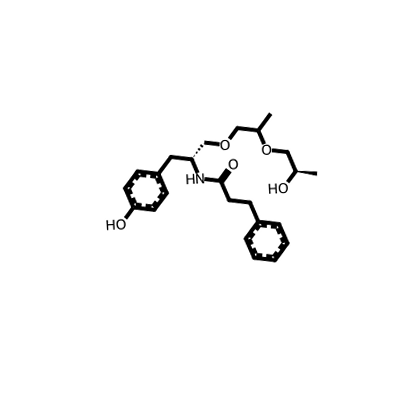 CC(COC[C@@H](Cc1ccc(O)cc1)NC(=O)CCc1ccccc1)OC[C@@H](C)O